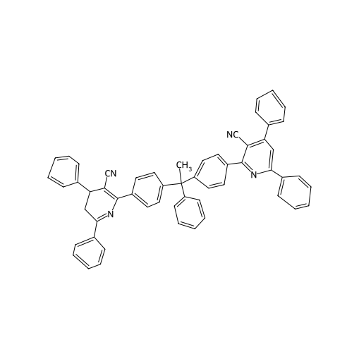 CC(c1ccccc1)(c1ccc(C2=C(C#N)C(c3ccccc3)CC(c3ccccc3)=N2)cc1)c1ccc(-c2nc(-c3ccccc3)cc(-c3ccccc3)c2C#N)cc1